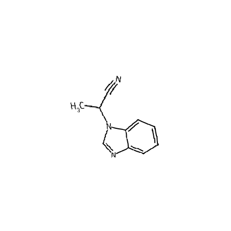 CC(C#N)n1cnc2ccccc21